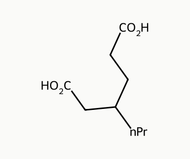 CCCC(CCC(=O)O)C[13C](=O)O